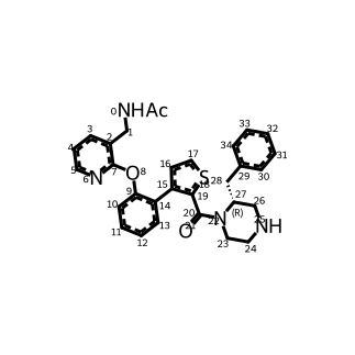 CC(=O)NCc1cccnc1Oc1ccccc1-c1ccsc1C(=O)N1CCNC[C@H]1Cc1ccccc1